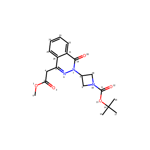 COC(=O)Cc1nn(C2CN(C(=O)OC(C)(C)C)C2)c(=O)c2ccccc12